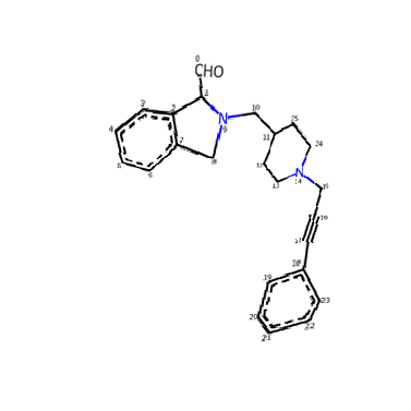 O=CC1c2ccccc2CN1CC1CCN(CC#Cc2ccccc2)CC1